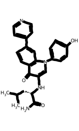 CC(C)C[C@H](Nc1cn(-c2ccc(O)cc2)c2cc(-c3ccncc3)ccc2c1=O)C(N)=O